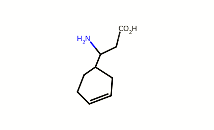 NC(CC(=O)O)C1CC=CCC1